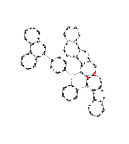 c1ccc(N(c2ccc(-c3cc4ccccc4c4ccccc34)cc2)c2cccc3oc4c5ccccc5ccc4c23)c(-c2cccc3oc4ccccc4c23)c1